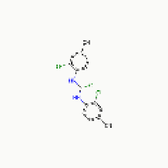 N#Cc1ccc(NC(Cl)Nc2ccc(C#N)cc2Cl)c(Cl)c1